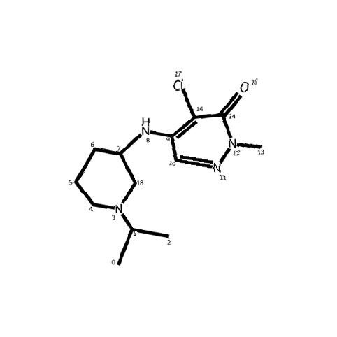 CC(C)N1CCCC(Nc2cnn(C)c(=O)c2Cl)C1